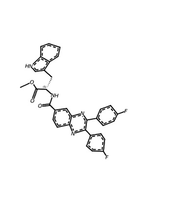 COC(=O)[C@H](Cc1c[nH]c2ccccc12)NC(=O)c1ccc2nc(-c3ccc(F)cc3)c(-c3ccc(F)cc3)nc2c1